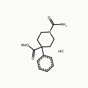 COC(=O)C1(c2ccccc2)CCN(C(N)=O)CC1.Cl